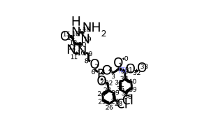 CO/C(COP(COCCn1cnc2c(=O)[nH]c(N)nc21)OCc1cccc(Cl)c1)=C(\OC=O)c1ccc(Cl)cc1